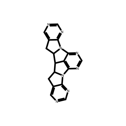 c1ncc2c(n1)N1c3ncnc4c3C(C1C2)C1Cc2cncnc2N41